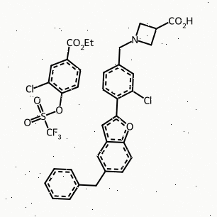 CCOC(=O)c1ccc(OS(=O)(=O)C(F)(F)F)c(Cl)c1.O=C(O)C1CN(Cc2ccc(-c3cc4cc(Cc5ccccc5)ccc4o3)c(Cl)c2)C1